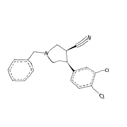 N#C[C@@H]1CN(Cc2ccccc2)C[C@@H]1c1ccc(Cl)c(Cl)c1